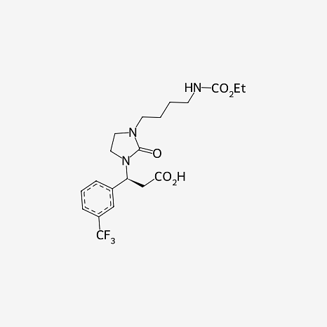 CCOC(=O)NCCCCN1CCN([C@@H](CC(=O)O)c2cccc(C(F)(F)F)c2)C1=O